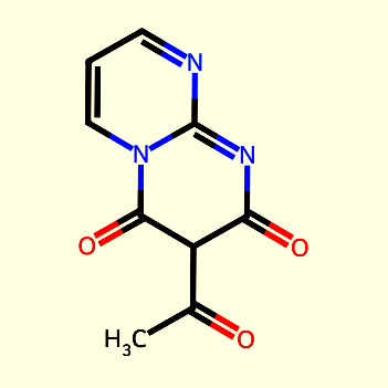 CC(=O)C1C(=O)N=C2N=CC=CN2C1=O